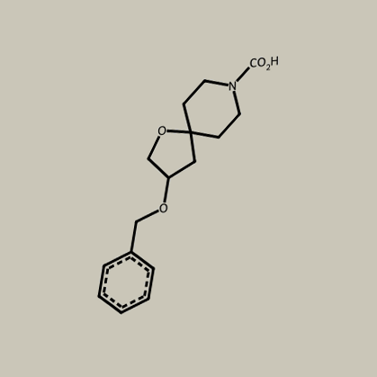 O=C(O)N1CCC2(CC1)CC(OCc1ccccc1)CO2